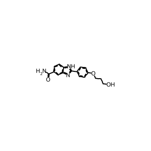 NC(=O)c1ccc2[nH]c(-c3ccc(OCCCO)cc3)nc2c1